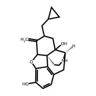 C=C1C(CC2CC2)CC2(O)[C@H]3Cc4ccc(O)c5c4[C@@]2(CCN3)C1O5